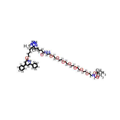 CC(C)(C)ON(C=O)CCOCCOCCOCCOCCOCCOCCOCCNC(=O)CCCCC1(C(C)(C)CCCCOc2cc(-c3ccccc3)cc(-c3ccccc3)n2)N=NN=N1